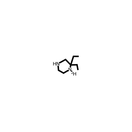 [2H]N1CCNCC1(CC)CC